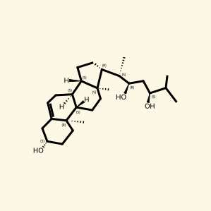 CC(C)[C@@H](O)C[C@@H](O)[C@@H](C)[C@H]1CC[C@H]2[C@@H]3CC=C4C[C@@H](O)CC[C@]4(C)[C@H]3CC[C@]12C